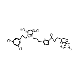 CC1(C)OCC(COC(=O)c2ccc(CCC[C@@H]3[C@@H](CCc4cc(Cl)cc(Cl)c4)[C@H](O)C[C@H]3Cl)s2)O1